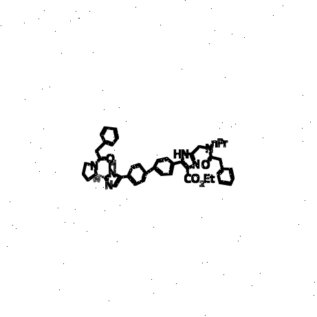 CCCN(Cc1nc(C(=O)OCC)c(-c2ccc(-c3ccc(-c4cnc([C@@H]5CCCN5C(=O)Cc5ccccc5)[nH]4)cc3)cc2)[nH]1)C(=O)Cc1ccccc1